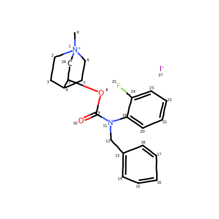 C[N+]12CCC(CC1)C(OC(=O)N(Cc1ccccc1)c1ccccc1F)C2.[I-]